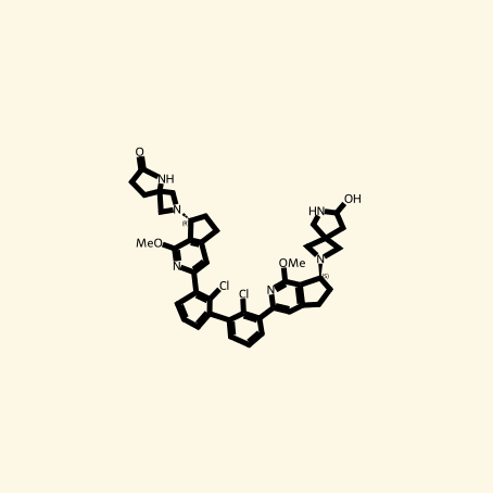 COc1nc(-c2cccc(-c3cccc(-c4cc5c(c(OC)n4)[C@@H](N4CC6(CNC(O)C6)C4)CC5)c3Cl)c2Cl)cc2c1[C@H](N1CC3(CCC(=O)N3)C1)CC2